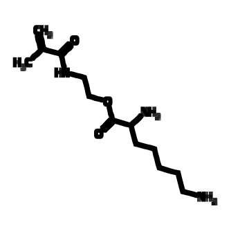 C=C(C)C(=O)NCCOC(=O)C(N)CCCCCN